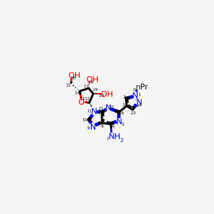 CCCn1cc(-c2nc(N)c3ncn([C@@H]4O[C@H](CO)[C@H](O)[C@H]4O)c3n2)cn1